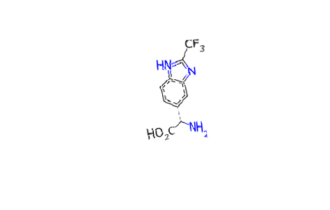 NC(C(=O)O)c1ccc2[nH]c(C(F)(F)F)nc2c1